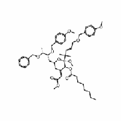 CCCCCCCC(=O)O[C@H]1/C(=C/C(=O)OC)C[C@@H](C[C@@H](OCc2ccc(OC)cc2)[C@@H](C)OCc2ccccc2)O[C@@]1(OC)C(C)(C)/C=C/COCc1ccc(OC)cc1